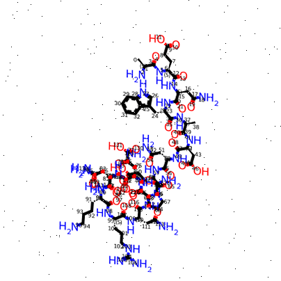 C[C@H](N)C(=O)N[C@@H](CCC(=O)O)C(=O)N[C@@H](CC(N)=O)C(=O)N[C@@H](Cc1c[nH]c2ccccc12)C(=O)N[C@@H](C)C(=O)N[C@@H](CC(=O)O)C(=O)N[C@@H](CC(N)=O)C(=O)N[C@@H](CCC(=O)O)C(=O)N1CCC[C@H]1C(=O)N[C@@H](CC(N)=O)C(=O)N[C@@H](CC(N)=O)C(=O)N[C@@H](CCCCN)C(=O)N[C@@H](CCCNC(=N)N)C(=O)N[C@@H](CC(N)=O)C(=O)N[C@@H](CC(N)=O)C(=O)N[C@@H](CCC(=O)O)C(=O)N[C@@H](CC(N)=O)C(N)=O